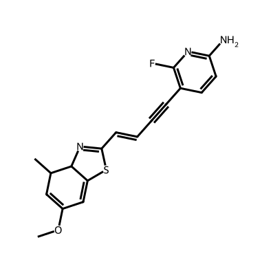 COC1=CC(C)C2N=C(/C=C/C#Cc3ccc(N)nc3F)SC2=C1